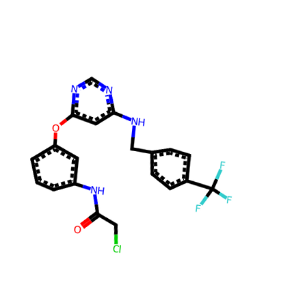 O=C(CCl)Nc1cccc(Oc2cc(NCc3ccc(C(F)(F)F)cc3)ncn2)c1